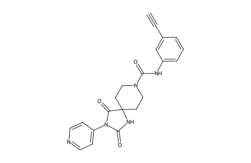 C#Cc1cccc(NC(=O)N2CCC3(CC2)NC(=O)N(c2ccncc2)C3=O)c1